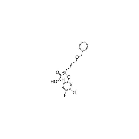 O=C(NO)[C@@H](CC=CCOCc1ccccc1)Oc1ccc(F)c(Cl)c1